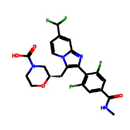 CNC(=O)c1cc(F)c(-c2nc3cc(C(F)F)ccn3c2C[C@H]2CN(C(=O)O)CCO2)c(F)c1